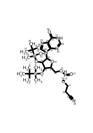 CC(C)(C)[Si](C)(C)OC1C(CO[PH](=O)OCCC#N)OC(n2cnc3c(=O)[nH]cnc32)C1O[Si](C)(C)C(C)(C)C